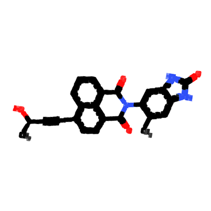 Cc1cc2[nH]c(=O)[nH]c2cc1N1C(=O)c2cccc3c(C#C[C@@H](C)O)ccc(c23)C1=O